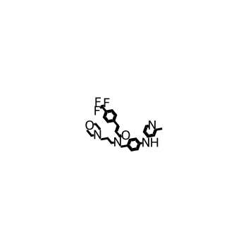 Cc1cc(Nc2ccc(CN(CCCN3CCOCC3)C(=O)C=Cc3ccc(C(F)(F)F)cc3)cc2)ccn1